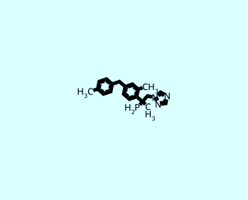 Cc1ccc(Cc2ccc(C(C)(P)Cn3cncn3)c(C)c2)cc1